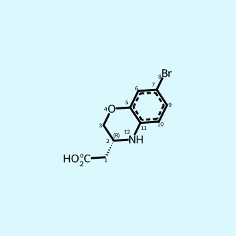 O=C(O)C[C@@H]1COc2cc(Br)ccc2N1